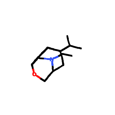 CCN1C2COCC1CC(C(C)C)C2